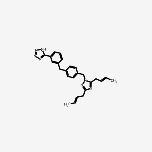 CC=CCc1nc(CC=CC)n(Cc2ccc(Cc3cccc(-c4nnn[nH]4)c3)cc2)n1